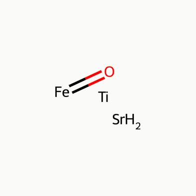 [O]=[Fe].[SrH2].[Ti]